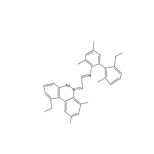 CCc1cccc(C)c1-c1cc(C)cc(C)c1N=CC=[N+]([Pd])c1c(C)cc(C)cc1-c1c(C)cccc1CC